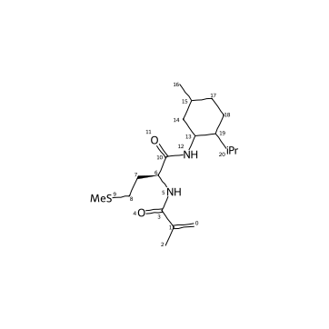 C=C(C)C(=O)N[C@@H](CCSC)C(=O)NC1CC(C)CCC1C(C)C